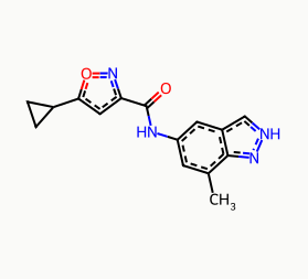 Cc1cc(NC(=O)c2cc(C3CC3)on2)cc2c[nH]nc12